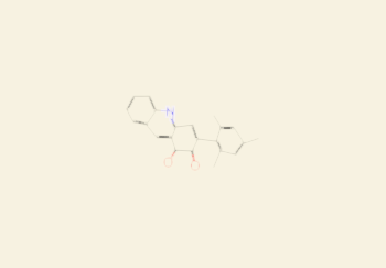 Cc1cc(C)c(C2=Cc3nc4ccccc4cc3C(=O)C2=O)c(C)c1